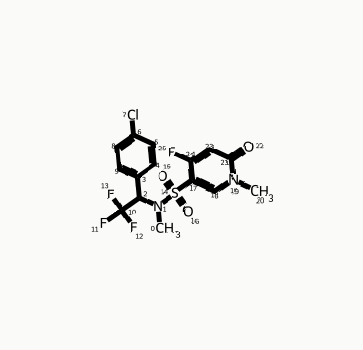 CN(C(c1ccc(Cl)cc1)C(F)(F)F)S(=O)(=O)c1cn(C)c(=O)cc1F